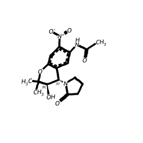 CC(=O)Nc1cc2c(cc1[N+](=O)[O-])OC(C)(C)[C@H](O)[C@H]2N1CCCC1=O